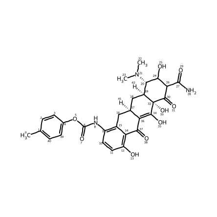 Cc1ccc(OC(=O)Nc2ccc(O)c3c2C[C@H]2C[C@H]4[C@H](N(C)C)C(O)C(C(N)=O)C(=O)[C@@]4(O)C(O)=C2C3=O)cc1